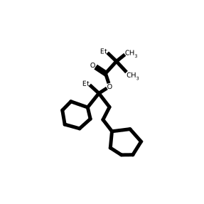 CCC(C)(C)C(=O)OC(CC)(CCC1CCCCC1)C1CCCCC1